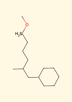 CO[SiH2]CCCC(C)CC1CCCCC1